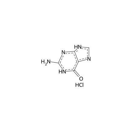 Cl.Nc1nc2[nH]cnc2c(=O)[nH]1